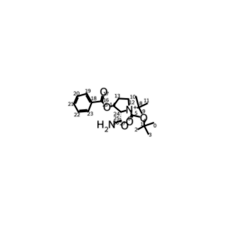 CC(C)(C)OC(=O)[N+]1(C(C)(C)C)CC[C@H](OC(=O)c2ccccc2)[C@H]1C(N)=O